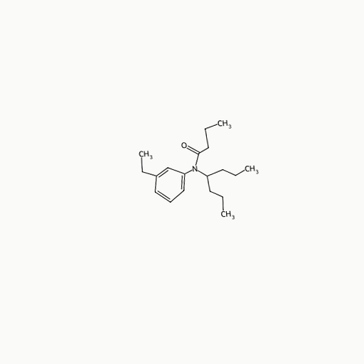 CCCC(=O)N(c1cccc(CC)c1)C(CCC)CCC